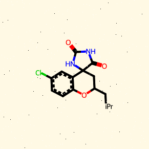 CC(C)CC1CC2(NC(=O)NC2=O)c2cc(Cl)ccc2O1